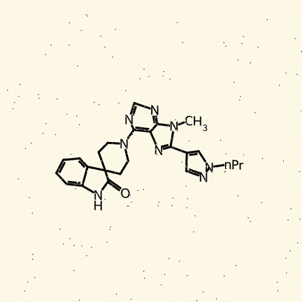 CCCn1cc(-c2nc3c(N4CCC5(CC4)C(=O)Nc4ccccc45)ncnc3n2C)cn1